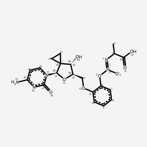 CC(/N=[P+](\[O-])Oc1ccccc1OC[C@H]1O[C@@H](n2ccc(N)nc2=O)C2(CC2)[C@@H]1O)C(=O)O